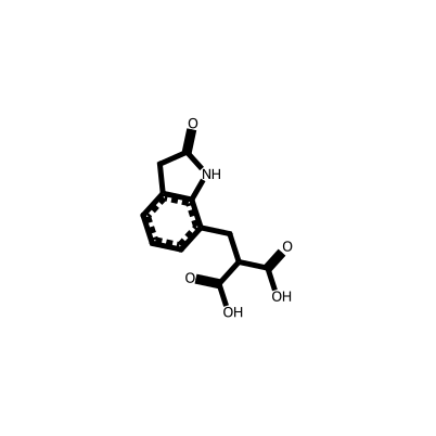 O=C1Cc2cccc(CC(C(=O)O)C(=O)O)c2N1